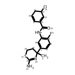 CC1(c2ccc(F)c(NC(=O)C3=CC(Cl)CC=C3)c2)CCSC(N)=N1